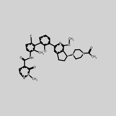 COc1nc(-c2cccc(-c3c(F)ccc(NC(=O)c4ccnn(C)c4=O)c3C)c2Cl)cc2c1[C@@H](N1CCN(C(C)=O)CC1)CC2